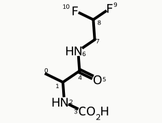 CC(NC(=O)O)C(=O)NCC(F)F